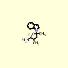 CC(CN)CC(C)(C)n1ccc2ccccc21